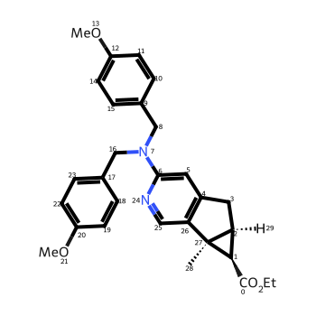 CCOC(=O)[C@@H]1[C@@H]2Cc3cc(N(Cc4ccc(OC)cc4)Cc4ccc(OC)cc4)ncc3[C@]12C